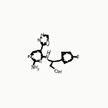 Nc1ncc(-c2nnco2)c(N[C@H](CO)c2ccc(F)cc2)n1